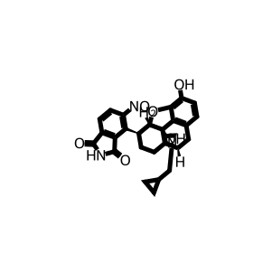 O=C1NC(=O)c2c1ccc([N+](=O)[O-])c2[C@@H]1CC[C@@]2(O)[C@H]3Cc4ccc(O)c5c4[C@@]2(CCN3CC2CC2)[C@H]1O5